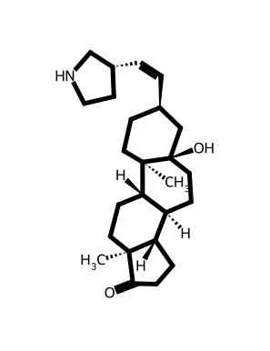 C[C@]12CC[C@H]3[C@@H](CC[C@@]4(O)C[C@H](/C=C\[C@@H]5CCNC5)CC[C@]34C)[C@@H]1CCC2=O